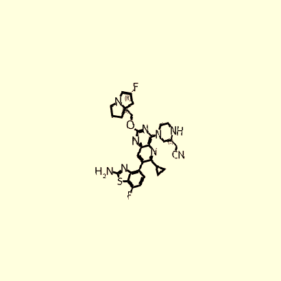 N#CC[C@H]1CN(c2nc(OC[C@@]34CCCN3C[C@H](F)C4)nc3cc(-c4ccc(F)c5sc(N)nc45)c(C4CC4)nc23)CCN1